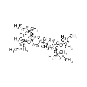 CCCC(C)(C)OOC1(OOC(C)(C)CCC)CCC(C(C)(C)C2CCC(OOC(C)(C)CCC)(OOC(C)(C)CCC)CC2)CC1